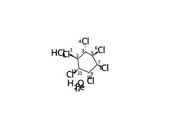 Cl.Cl[C@H]1[C@H](Cl)[C@@H](Cl)[C@@H](Cl)[C@H](Cl)[C@H]1Cl.O.[Fe]